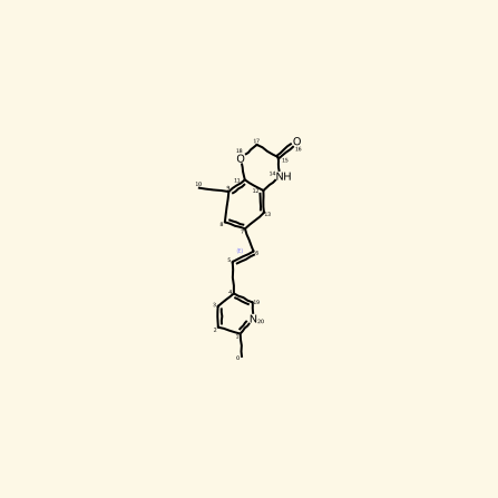 Cc1ccc(/C=C/c2cc(C)c3c(c2)NC(=O)CO3)cn1